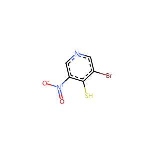 O=[N+]([O-])c1cncc(Br)c1S